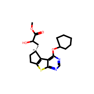 COC(=O)C(O)C[C@H]1CCc2sc3ncnc(OC4CCCCC4)c3c21